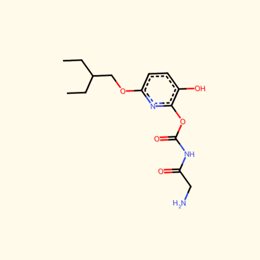 CCC(CC)COc1ccc(O)c(OC(=O)NC(=O)CN)n1